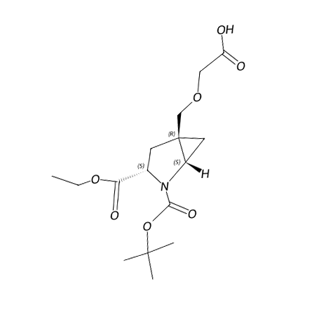 CCOC(=O)[C@@H]1C[C@]2(COCC(=O)O)C[C@@H]2N1C(=O)OC(C)(C)C